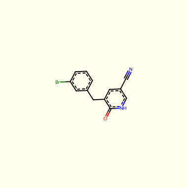 N#Cc1c[nH]c(=O)c(Cc2cccc(Br)c2)c1